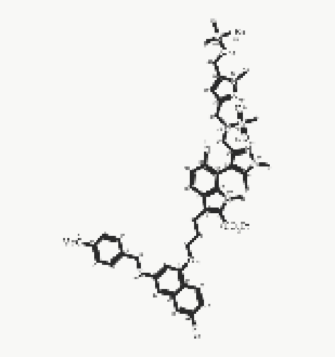 CCOC(=O)c1c(CCCOc2cc(SCc3ccc(OC)cc3)cc3cc(F)ccc23)c2ccc(Cl)c(-c3c(CN(Cc4cc(CO[Si](C)(C)C(C)(C)C)n(C)n4)S(C)(=O)=O)nn(C)c3C)c2n1C